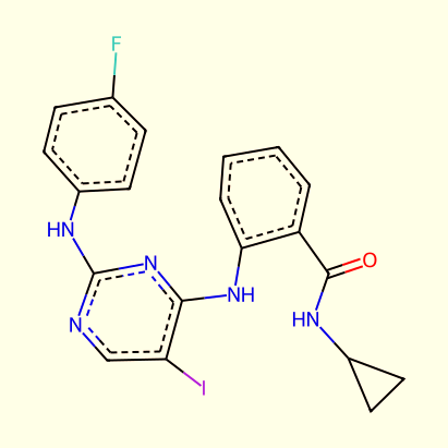 O=C(NC1CC1)c1ccccc1Nc1nc(Nc2ccc(F)cc2)ncc1I